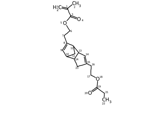 C=C(C)C(=O)OCCC1=CC2CC1C1C=C(CCOC(=O)CC)CC21